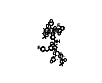 C[C@@H]1COCCN1C[C@H]1CN(C(=O)OC(C)(C)C)[C@@H](C)CN1CC(=O)N1C[C@@](C)(C(=O)Nc2ccc3c(c2)[C@@H](C(=O)Nc2c(F)cccc2F)N(C(=O)[C@@H](NC(=O)[C@H](C)N(C)C(=O)OC(C)(C)C)C2CCOCC2)C3)c2ccc(Cc3ccc(F)cc3)cc21